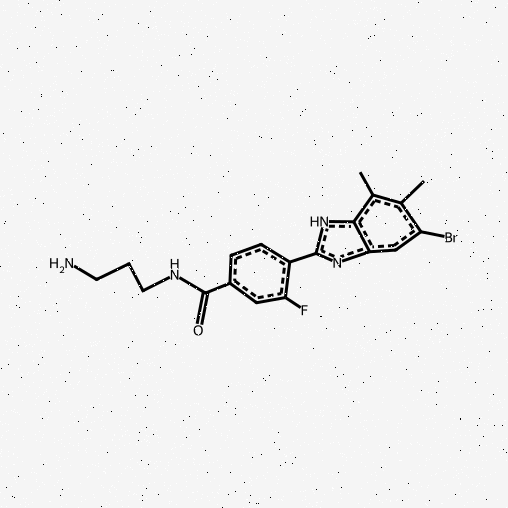 Cc1c(Br)cc2nc(-c3ccc(C(=O)NCCCN)cc3F)[nH]c2c1C